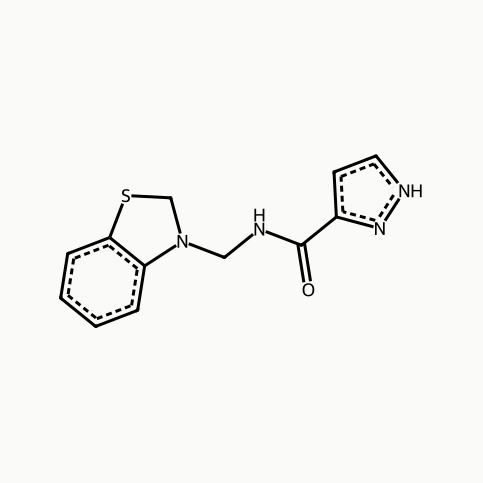 O=C(NCN1CSc2ccccc21)c1cc[nH]n1